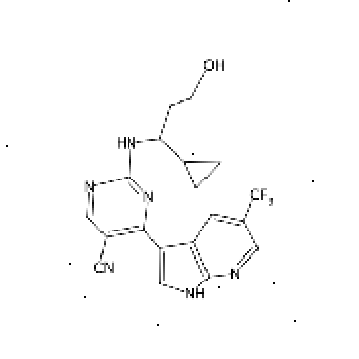 N#Cc1cnc(NC(CCO)C2CC2)nc1-c1c[nH]c2ncc(C(F)(F)F)cc12